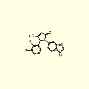 O=C1C=C(O)C(c2cccc(F)c2F)N1c1ccc2[nH]cnc2c1